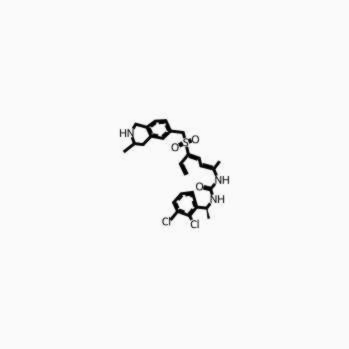 C=C/C(=C\C=C(/C)NC(=O)N[C@@H](C)c1cccc(Cl)c1Cl)S(=O)(=O)Cc1ccc2c(c1)CC(C)NC2